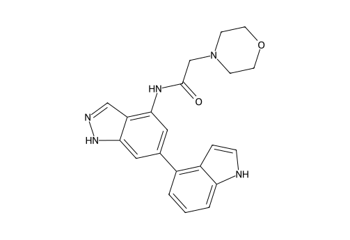 O=C(CN1CCOCC1)Nc1cc(-c2cccc3[nH]ccc23)cc2[nH]ncc12